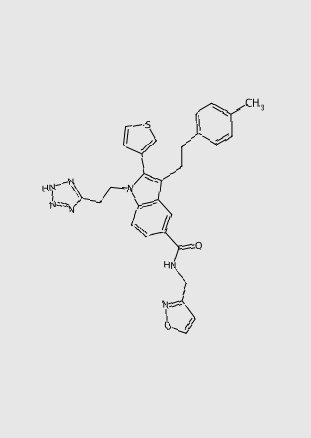 Cc1ccc(CCc2c(-c3ccsc3)n(CCc3nn[nH]n3)c3ccc(C(=O)NCc4ccon4)cc23)cc1